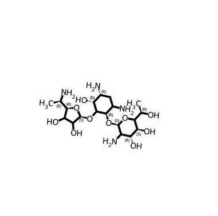 C[C@@H](O)C1O[C@H](O[C@@H]2C(N)C[C@@H](N)[C@@H](O)C2O[C@@H]2O[C@H]([C@@H](C)N)C(O)C2O)C(N)[C@@H](O)[C@@H]1O